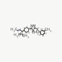 C/C=C/C(C1CCC(c2nnc(COc3cccc(C)c3)n2C)CC1)N(C)C